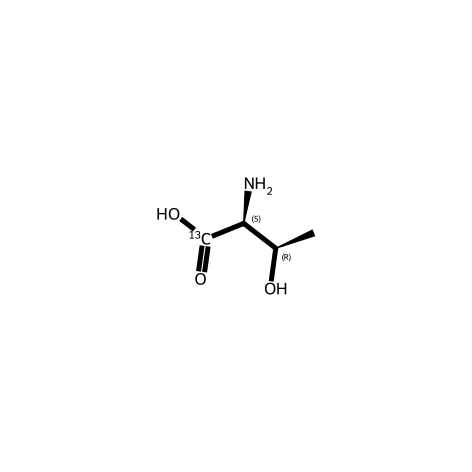 C[C@@H](O)[C@H](N)[13C](=O)O